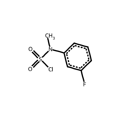 CN(c1cccc(F)c1)S(=O)(=O)Cl